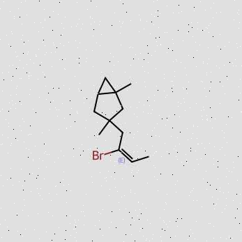 C/C=C(/Br)CC1(C)CC2CC2(C)C1